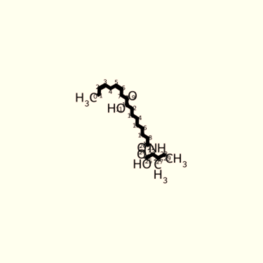 CC/C=C\C/C=C\CC(=O)C(O)CCCCCCCC(=O)NC(C(=O)O)C(C)CC